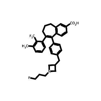 Cc1cccc(C2=C(c3ccc(CC4CN(CCCF)C4)cc3)c3ccc(C(=O)O)cc3CCC2)c1C(F)(F)F